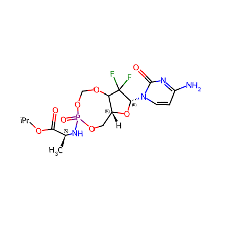 CC(C)OC(=O)[C@H](C)NP1(=O)OCOC2[C@@H](CO1)O[C@@H](n1ccc(N)nc1=O)C2(F)F